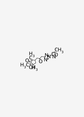 Cc1cc(-n2cnc(CC(=O)CC3C[C@H]4C[C@]3(C)C(=O)C4(C)C)n2)no1